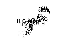 Cc1cc(-n2nc3c(c2-n2ccn(-c4ccc5c(cnn5C)c4F)c2=O)C(C)N(C(=O)c2cc4cc(C5CCOC(C)(C)C5)ccc4n2C2(c4noc(=O)[nH]4)CC2C)CC3)cc(C)c1F